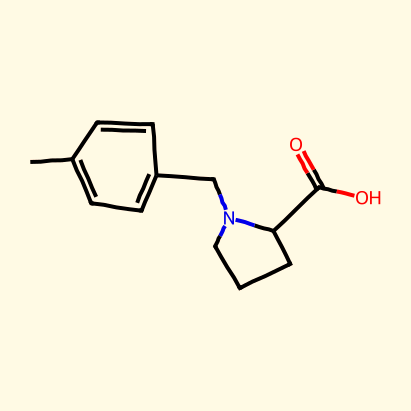 Cc1ccc(CN2CCCC2C(=O)O)cc1